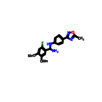 COc1cc(F)c(C(N)Nc2ccc(-c3noc(C)n3)cc2)cc1OC